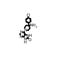 NC1(c2ccc(Cl)cc2)CCN(c2ncnc3[nH]c(=O)[nH]c23)CC1